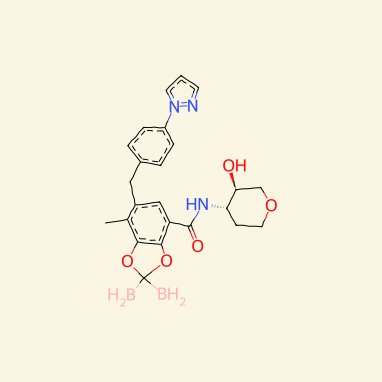 BC1(B)Oc2c(C(=O)N[C@H]3CCOC[C@@H]3O)cc(Cc3ccc(-n4cccn4)cc3)c(C)c2O1